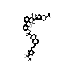 CC(C)N1CCc2cc(C(=O)Nc3cccc(-c4cccc(NC(=O)c5ccc6c(n5)CN(CCC57CCC(C(=O)O)(CC5)C7)CC6)c4Cl)c3Cl)ncc2C1